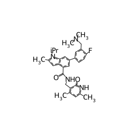 Cc1cc(C)c(CNC(=O)c2cc(-c3ccc(F)c(CN(C)C)c3)cc3c2cc(C)n3C(C)C)c(=O)[nH]1